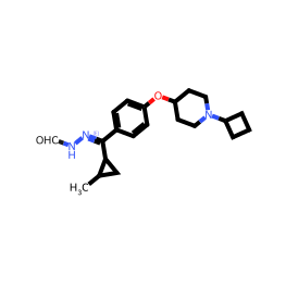 CC1CC1/C(=N\NC=O)c1ccc(OC2CCN(C3CCC3)CC2)cc1